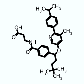 Cc1cc(OC(CCC(C)(C)C)c2ccc(C(=O)NCCC(=O)O)cc2)cnc1-c1ccc(C(C)C)cc1